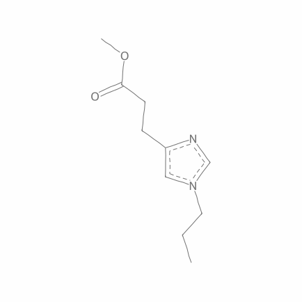 CCCn1cnc(CCC(=O)OC)c1